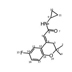 CC1(C)CC(=CC(=O)NC2CC2)c2cc(F)ccc2O1